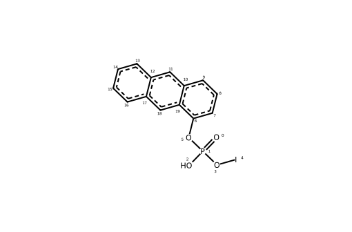 O=P(O)(OI)Oc1cccc2cc3ccccc3cc12